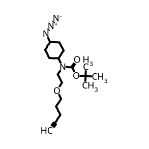 C#CCCCOCCN(C(=O)OC(C)(C)C)C1CCC(N=[N+]=[N-])CC1